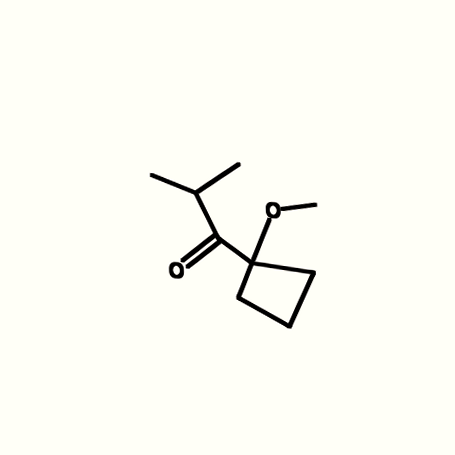 COC1(C(=O)C(C)C)CCC1